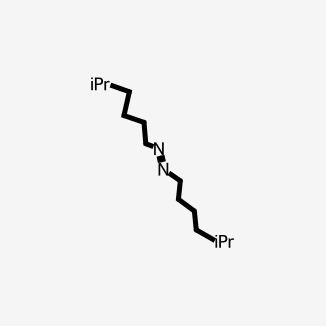 CC(C)CCCCN=NCCCCC(C)C